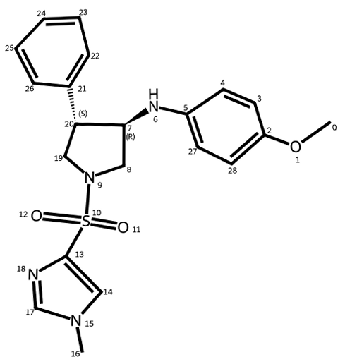 COc1ccc(N[C@H]2CN(S(=O)(=O)c3cn(C)cn3)C[C@@H]2c2ccccc2)cc1